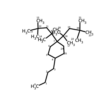 CCCCC1CCC(C(C)(C)CC(C)(C)C)(C(C)(C)CC(C)(C)C)CC1